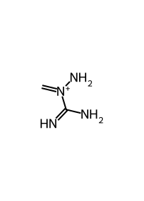 C=[N+](N)C(=N)N